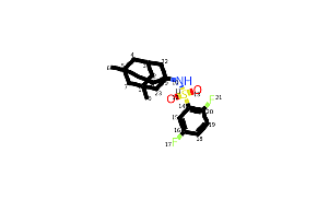 CC12CC3CC(C)(C1)CC(NS(=O)(=O)c1cc(F)ccc1F)(C3)C2